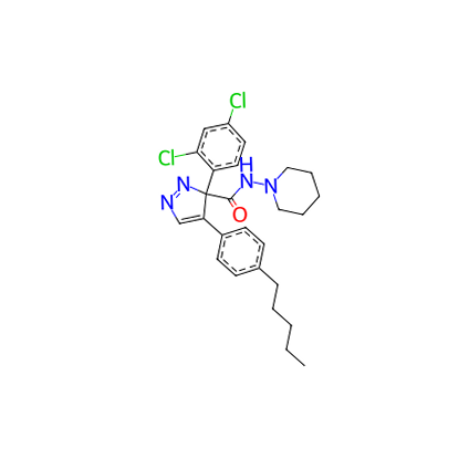 CCCCCc1ccc(C2=CN=NC2(C(=O)NN2CCCCC2)c2ccc(Cl)cc2Cl)cc1